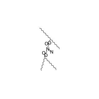 CCCCCCCCCCC(CCCCCCCC)COC(=O)CCN(CCC(=O)OCC(CCCCCCCC)CCCCCCCCCC)CCN(C)C